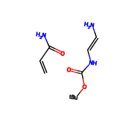 C=CC(N)=O.CC(C)(C)OC(=O)N/C=C/N